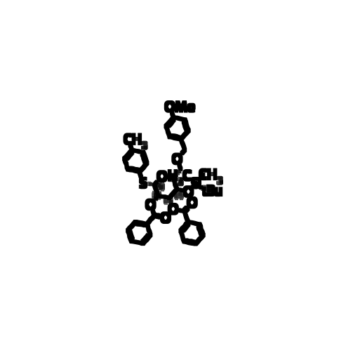 COc1ccc(COC[C@H]2O[C@@H](Sc3ccc(C)cc3)[C@H](OC(=O)c3ccccc3)[C@@H](OC(=O)c3ccccc3)[C@@H]2O[Si](C)(C)C(C)(C)C)cc1